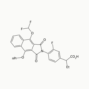 CCCOc1c2c(c(OC(F)F)c3ccccc13)C(=O)N(c1ccc(C(CC)C(=O)O)cc1F)C2=O